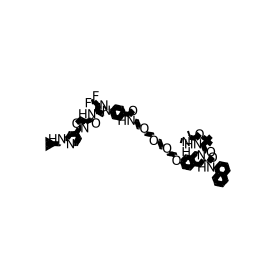 CN[C@@H](C)C(=O)N[C@H](C(=O)N1Cc2cc(OCCOCCOCCOCCNC(=O)c3ccc(-n4cc(NC(=O)c5coc(-c6ccnc(NCC7CC7)c6)n5)c(C(F)F)n4)cc3)ccc2C[C@H]1C(=O)N[C@@H]1CCCc2ccccc21)C(C)(C)C